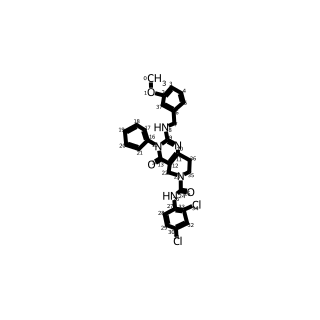 COc1cccc(CNc2nc3c(c(=O)n2-c2ccccc2)CN(C(=O)Nc2ccc(Cl)cc2Cl)CC3)c1